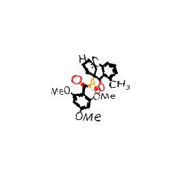 COc1cc(OC)c(C(=O)[P](=O)C2(C(=O)c3c(C)cccc3C)CCCC2)c(OC)c1